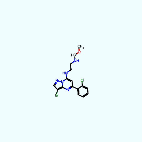 COBNCCNc1cc(-c2ccccc2Cl)nc2c(Br)cnn12